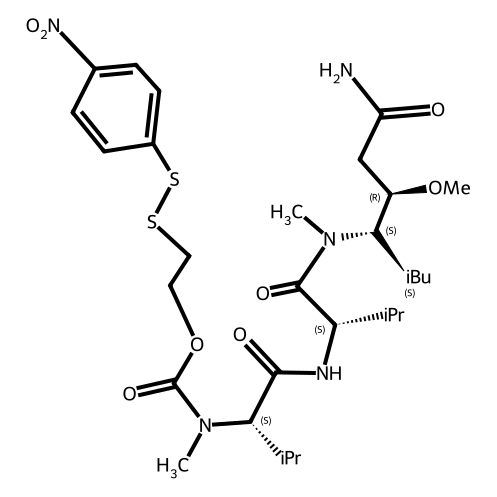 CC[C@H](C)[C@@H]([C@@H](CC(N)=O)OC)N(C)C(=O)[C@@H](NC(=O)[C@H](C(C)C)N(C)C(=O)OCCSSc1ccc([N+](=O)[O-])cc1)C(C)C